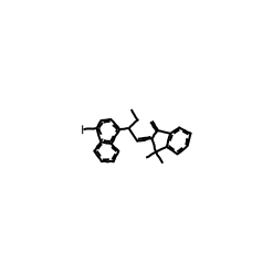 C=C1/C(=C\C(CC)c2ccc(I)c3ccccc23)C(C)(C)c2ccccc21